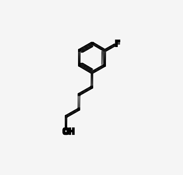 OCCCCc1cccc(F)c1